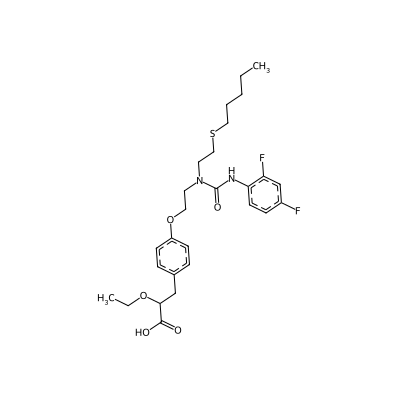 CCCCCSCCN(CCOc1ccc(CC(OCC)C(=O)O)cc1)C(=O)Nc1ccc(F)cc1F